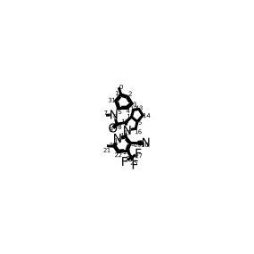 Cc1cccc(N(C)C(=O)C2C3CCCC3CN2c2nc(C)cc(C(F)(F)F)c2C#N)c1